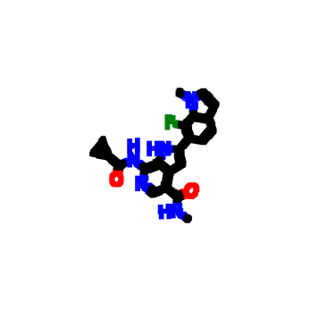 CNC(=O)c1cnc(NC(=O)C2CC2)c2[nH]c(-c3ccc4ccn(C)c4c3F)cc12